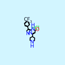 Cl.O=c1cc(C2CCNCC2)n2ncc(-c3ccc(C(F)(F)F)cc3)c2[nH]1